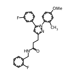 COc1ccc(-n2nc(CCC(=O)NCc3ccccc3F)cc2-c2cccc(F)c2)c(C)c1